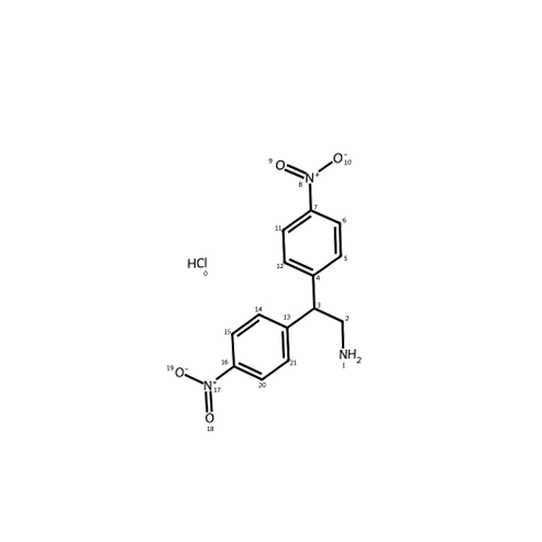 Cl.NCC(c1ccc([N+](=O)[O-])cc1)c1ccc([N+](=O)[O-])cc1